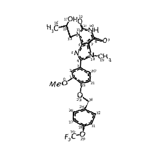 COc1cc(-c2nc3c(c(=O)[nH]c(=O)n3CC(C)O)n2C)ccc1OCc1ccc(OC(F)(F)F)cc1